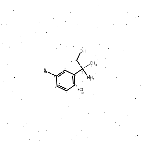 C[C@@](N)(CO)c1cccc(Br)c1.Cl